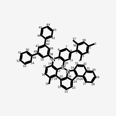 Cc1cc(C)c(-c2ccc3c(c2)B2c4c(ccc(C)c4-c4cccc5c6c7ccccc7ccc6n2c45)N3c2cc(-c3ccccc3)cc(-c3ccccc3)c2)c(C)c1